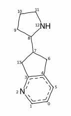 c1cnc2c(c1)CC(C1CCCN1)C2